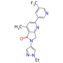 CCn1cc(N2Cc3nc(-c4cncc(C(F)(F)F)c4)cc(C)c3C2=O)cn1